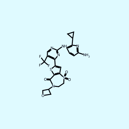 Nc1ccc(Nc2ncc(C(F)(F)F)c(-c3cc4c(s3)C(=O)N(C3COC3)CCS4(=O)=O)n2)c(C2CC2)n1